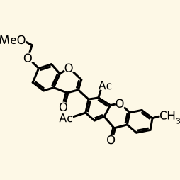 COCOc1ccc2c(=O)c(-c3c(C(C)=O)cc4c(=O)c5ccc(C)cc5oc4c3C(C)=O)coc2c1